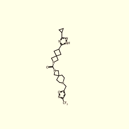 O=C(N1CC2(CCN(Cc3cc(C(F)(F)F)no3)CC2)C1)N1CC2(CC(c3nc(C4CC4)n[nH]3)C2)C1